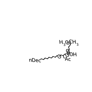 CCCCCCCCCCCCCCCCCCCOCC(COP(O)OCCCN(C)C)CC(C)=O